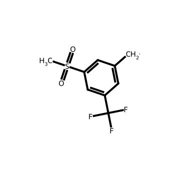 [CH2]c1cc(C(F)(F)F)cc(S(C)(=O)=O)c1